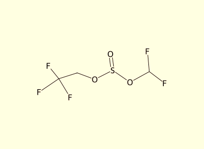 O=S(OCC(F)(F)F)OC(F)F